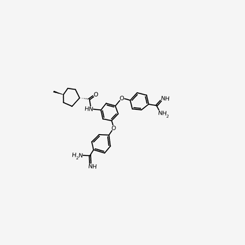 C[C@H]1CC[C@H](C(=O)Nc2cc(Oc3ccc(C(=N)N)cc3)cc(Oc3ccc(C(=N)N)cc3)c2)CC1